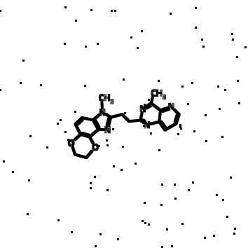 Cc1nc(CCc2nc3c4c(ccc3n2C)OCCO4)nc2cccnc12